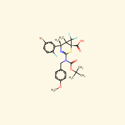 COc1ccc(CN(C(=O)OC(C)(C)C)C2=N[C@](C)(c3cc(Br)ccc3F)C3(C)C(F)(F)[C@]3(C(=O)O)S2)cc1